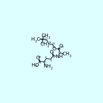 CC(NC(=O)CCC(N)C(=O)O)C(=O)OCCCC(C)(C)C